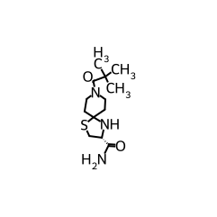 CC(C)(C)C(=O)N1CCC2(CC1)N[C@H](C(N)=O)CS2